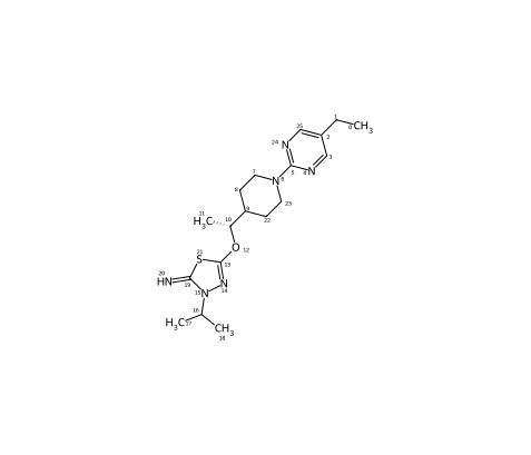 CCc1cnc(N2CCC([C@@H](C)Oc3nn(C(C)C)c(=N)s3)CC2)nc1